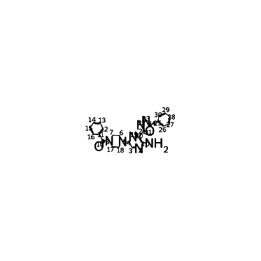 Nc1ncc(N2CCN(C(=O)c3ccccc3)CC2)nc1-c1nnc(-c2ccccc2)o1